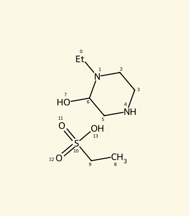 CCN1CCNCC1O.CCS(=O)(=O)O